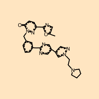 Cc1cnc(-c2ccc(=O)n(Cc3cccc(-c4ncc(-c5cnn(CCN6CCCC6)c5)cn4)c3)n2)o1